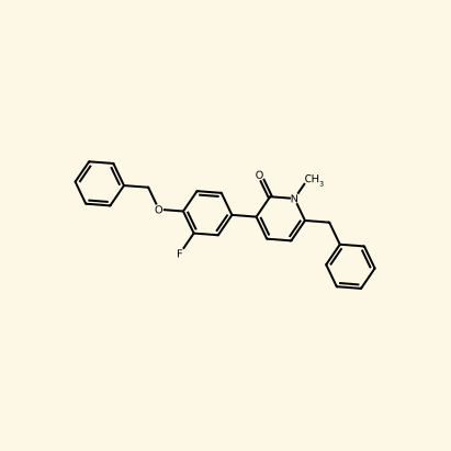 Cn1c(Cc2ccccc2)ccc(-c2ccc(OCc3ccccc3)c(F)c2)c1=O